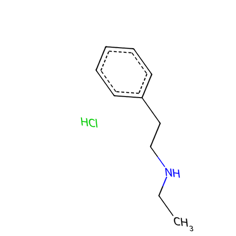 CCNCCc1ccccc1.Cl